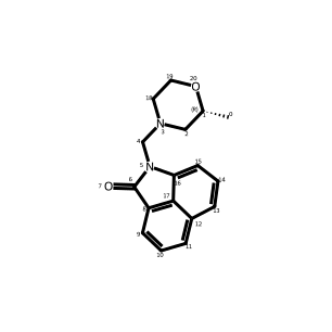 C[C@@H]1CN(CN2C(=O)c3cccc4cccc2c34)CCO1